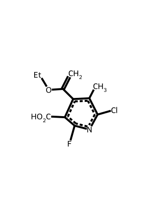 C=C(OCC)c1c(C)c(Cl)nc(F)c1C(=O)O